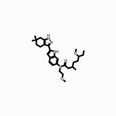 CCC(CCC(C)CC(=O)N(CCOC)c1ccc2cc(-c3n[nH]c4c3CCC(C)(C)C4)[nH]c2c1)OC